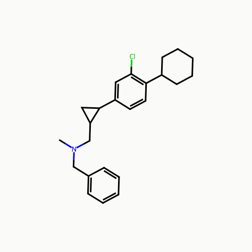 CN(Cc1ccccc1)CC1CC1c1ccc(C2CCCCC2)c(Cl)c1